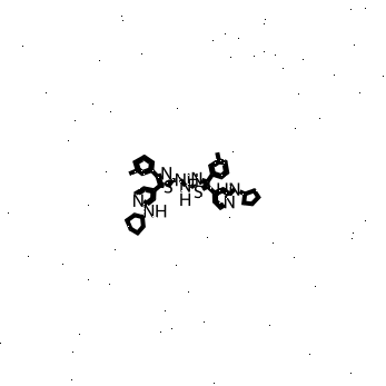 Cc1cccc(-c2nc(NNc3nc(-c4cccc(C)c4)c(-c4ccnc(NC5CCCC5)c4)s3)sc2-c2ccnc(NC3CCCCC3)c2)c1